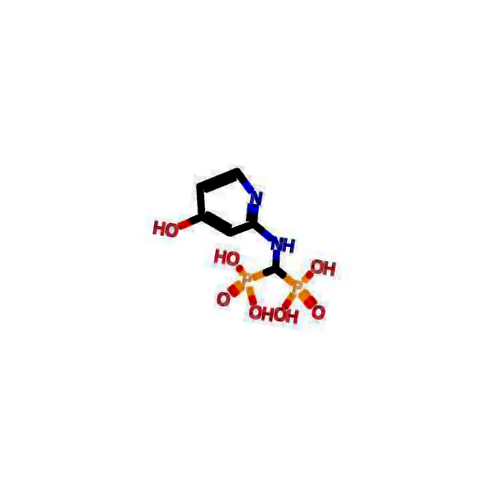 O=P(O)(O)C(Nc1cc(O)ccn1)P(=O)(O)O